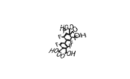 O=C(O)c1c(F)cc(C2=C(F)C(F)C(C(=O)O)(C(=O)O)C(F)=C2F)c(F)c1C(=O)O